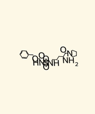 NC(CCCNS(=O)(=O)NC(=O)OCc1ccccc1)C(=O)N1CCCC1